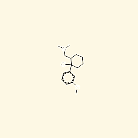 COc1cccc(C2(Cl)CCCCC2CN(C)C)c1